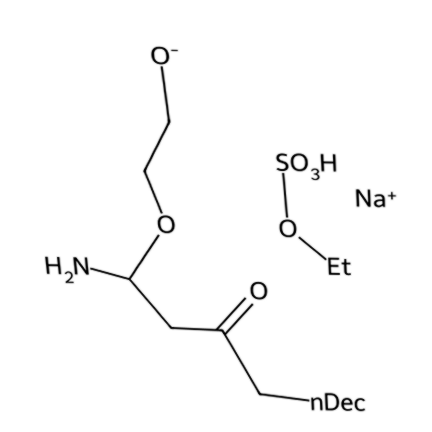 CCCCCCCCCCCC(=O)CC(N)OCC[O-].CCOS(=O)(=O)O.[Na+]